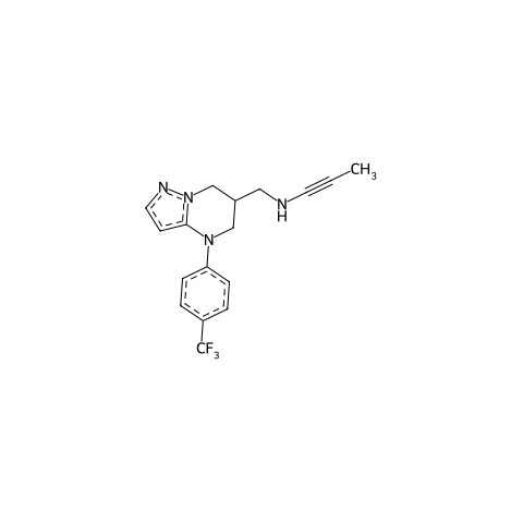 CC#CNCC1CN(c2ccc(C(F)(F)F)cc2)c2ccnn2C1